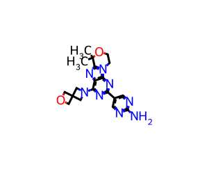 CC1(C)OCCn2c1nc1c(N3CC4(COC4)C3)nc(-c3cnc(N)nc3)nc12